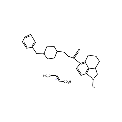 CC(=O)N1CC2CCCc3c(C(=O)CCC4CCN(Cc5ccccc5)CC4)ccc1c32.O=C(O)/C=C/C(=O)O